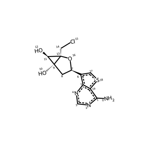 Nc1ncnc2c([C@H]3C[C@@]4(O)[C@@H](O)[C@@]4(CCl)O3)csc12